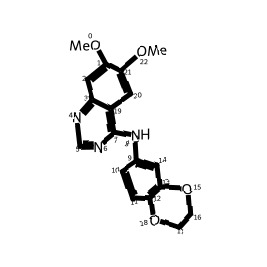 COc1cc2ncnc(Nc3ccc4c(c3)OCCO4)c2cc1OC